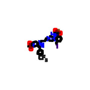 CS(=O)(=O)Nc1cccc(CI)c1N1CCN(CCCn2nc(-c3ccc(C(F)(F)F)cc3)c3c2CCN(S(C)(=O)=O)C3)CC1